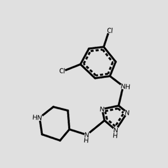 Clc1cc(Cl)cc(Nc2n[nH]c(NC3CCNCC3)n2)c1